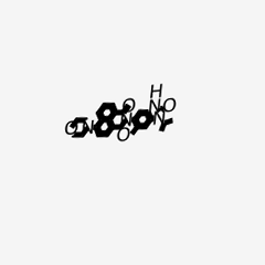 Cc1cc2c(cc1N1C(=O)c3cccc4c(N5CCOCC5)ccc(c34)C1=O)[nH]c(=O)n2C(C)C